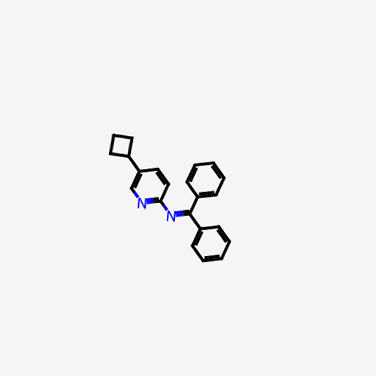 c1ccc(C(=Nc2ccc(C3CCC3)cn2)c2ccccc2)cc1